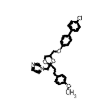 COc1ccc(CCC2(Cn3ccnc3)OCC(COc3ccc(-c4ccc(Cl)cc4)cc3)O2)cc1